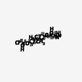 CC(C)(c1ccc(OC[C@H](O)CCl)cc1)c1ccc(OC[C@@H](O)Cn2ccnn2)cc1